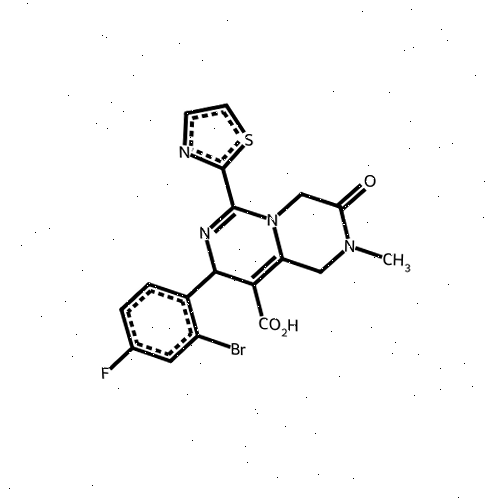 CN1CC2=C(C(=O)O)C(c3ccc(F)cc3Br)N=C(c3nccs3)N2CC1=O